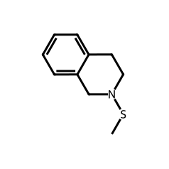 CSN1CCc2ccccc2C1